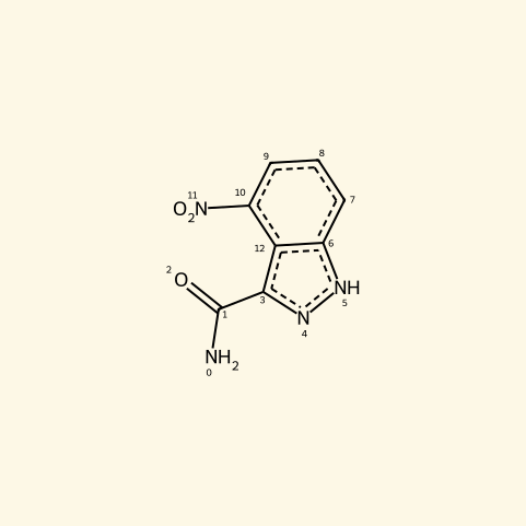 NC(=O)c1n[nH]c2cccc([N+](=O)[O-])c12